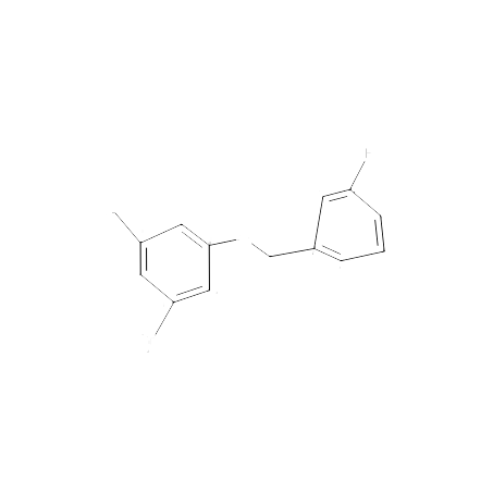 Fc1cccc(COc2cc(Cl)cc(Br)c2)c1